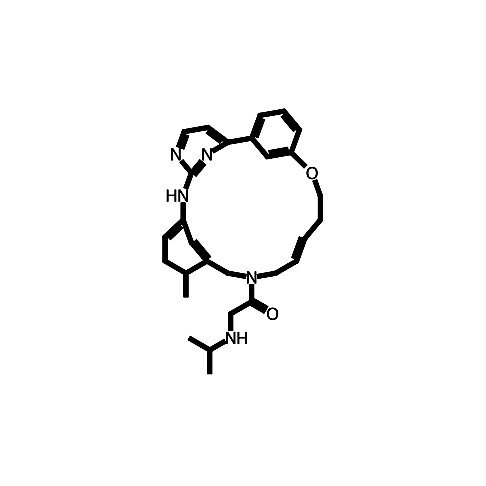 CC(C)NCC(=O)N1C/C=C/CCOc2cccc(c2)-c2ccnc(n2)NC2=CCC(C)C(=C2)C1